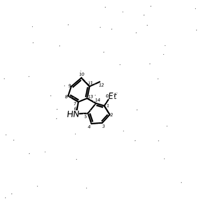 CCc1cccc2[nH]c3cccc(C)c3c12